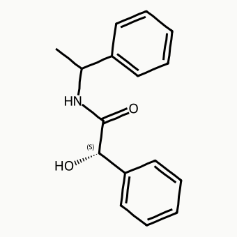 CC(NC(=O)[C@@H](O)c1ccccc1)c1ccccc1